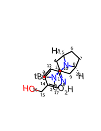 CC(C)(C)N(C(=O)O)[C@H]1C[C@H]2CC[C@@H](C1)N2c1ccc(CO)cn1